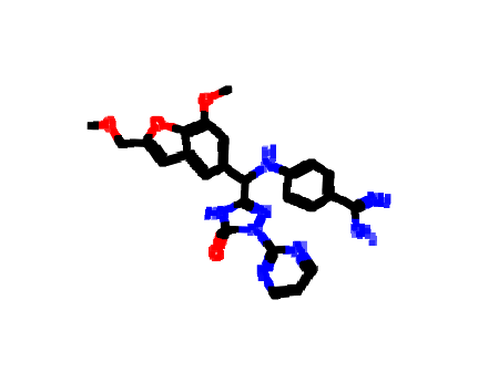 COCc1cc2cc(C(Nc3ccc(C(=N)N)cc3)c3nn(-c4ncccn4)c(=O)[nH]3)cc(OC)c2o1